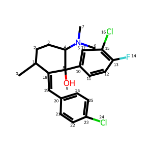 CC1CCC(N(C)C)C(O)(c2ccc(F)c(Cl)c2)C1=Cc1ccc(Cl)cc1